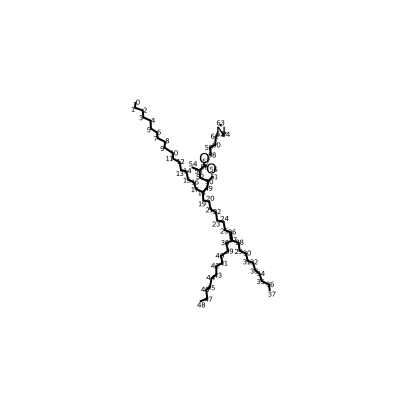 CCCCCCCCCCCCCCCCCCC(CCCCCCC/C=C(/CCCCCCCCCC)CCCCCCCCCCC)CC(C)CC(C)C(=O)OCCCCN(C)C